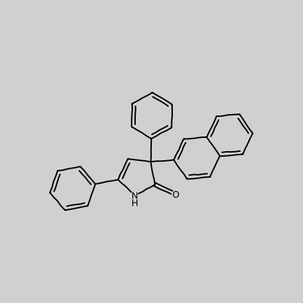 O=C1NC(c2ccccc2)=CC1(c1ccccc1)c1ccc2ccccc2c1